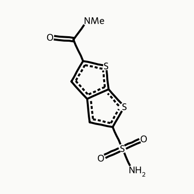 CNC(=O)c1cc2cc(S(N)(=O)=O)sc2s1